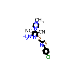 CN1CCN(c2c(C#N)c(N)nc(SCc3csc(-c4ccc(Cl)cc4)n3)c2C#N)CC1